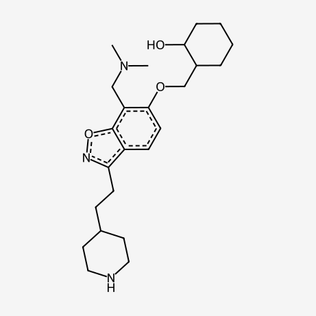 CN(C)Cc1c(OCC2CCCCC2O)ccc2c(CCC3CCNCC3)noc12